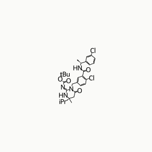 CC(C)[C@]1(C)CC(=O)N(Cc2ccc(Cl)c(C(=O)N[C@@H](C)c3cccc(Cl)c3)c2)/C(=N\C(=O)OC(C)(C)C)N1